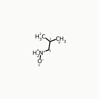 CC(C)C[NH2+][O-]